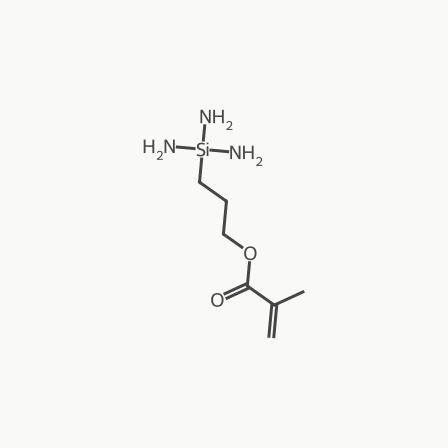 C=C(C)C(=O)OCCC[Si](N)(N)N